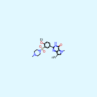 CCCc1cn(C)c2c(=O)[nH]c(-c3ccc(OCC)c(S(=O)(=O)N4CCN(C)CC4)c3)nc12